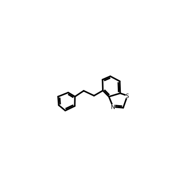 c1ccc(CCc2cccc3scnc23)cc1